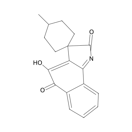 CC1CCC2(CC1)C(=O)N=C1C2=C(O)C(=O)c2ccccc21